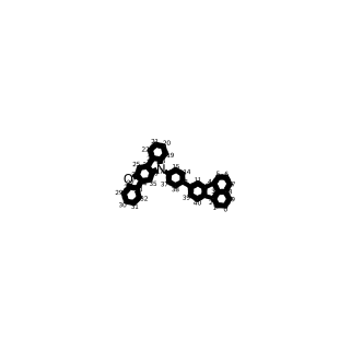 c1cc2c3c(cccc3c1)-c1cc(-c3ccc(-n4c5ccccc5c5cc6oc7ccccc7c6cc54)cc3)ccc1-2